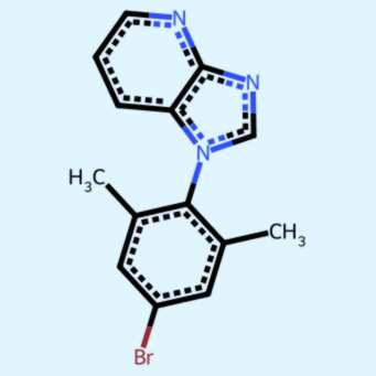 Cc1cc(Br)cc(C)c1-n1cnc2ncccc21